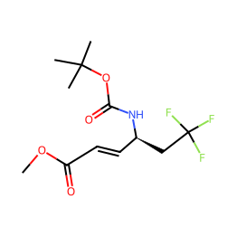 COC(=O)/C=C/[C@H](CC(F)(F)F)NC(=O)OC(C)(C)C